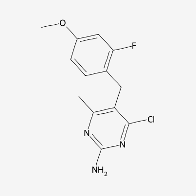 COc1ccc(Cc2c(C)nc(N)nc2Cl)c(F)c1